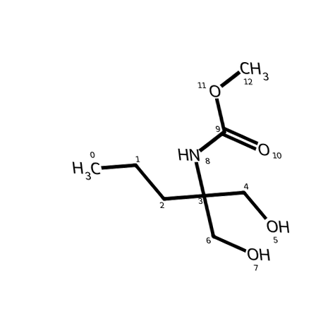 CCCC(CO)(CO)NC(=O)OC